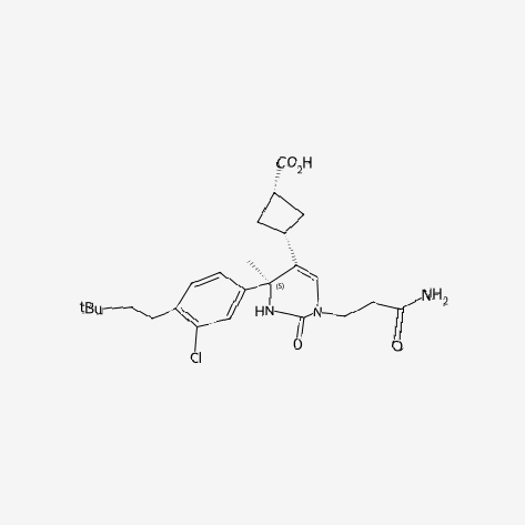 CC(C)(C)CCc1ccc([C@]2(C)NC(=O)N(CCC(N)=O)C=C2[C@H]2C[C@@H](C(=O)O)C2)cc1Cl